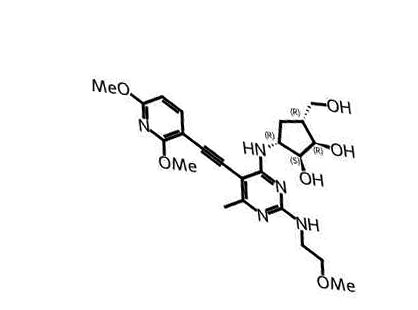 COCCNc1nc(C)c(C#Cc2ccc(OC)nc2OC)c(N[C@@H]2C[C@H](CO)[C@@H](O)[C@H]2O)n1